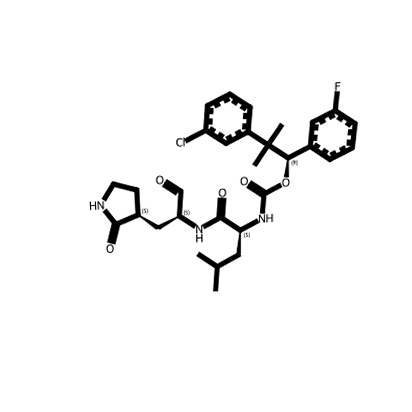 CC(C)C[C@H](NC(=O)O[C@H](c1cccc(F)c1)C(C)(C)c1cccc(Cl)c1)C(=O)N[C@H](C=O)C[C@@H]1CCNC1=O